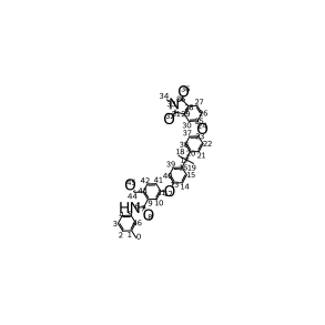 Cc1cccc(NC(=O)c2cc(Oc3ccc(C(C)(C)c4ccc(Oc5ccc6c(c5)C(=O)N(C)C6=O)cc4)cc3)ccc2C=O)c1